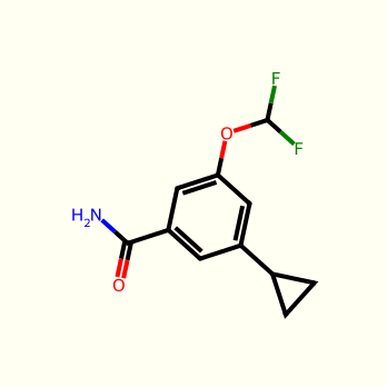 NC(=O)c1cc(OC(F)F)cc(C2CC2)c1